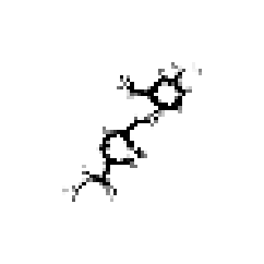 COC(=O)c1ccc(COc2ccc(C)cc2C=O)nc1